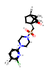 CC1(C)[C@@H]2CC[C@@]1(CS(=O)(=O)N1CCN(c3ccc(C(F)(F)F)c(Cl)n3)CC1)C(=O)C2